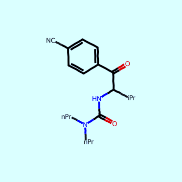 CCCN(CCC)C(=O)NC(C(=O)c1ccc(C#N)cc1)C(C)C